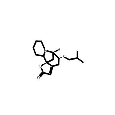 CC(C)CS[C@@H]1CC2=CC(=O)O[C@@]23C[C@@H]1N1CCCCC13